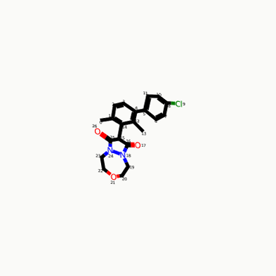 Cc1ccc(-c2ccc(Cl)cc2)c(C)c1C1C(=O)N2CCOCCN2C1=O